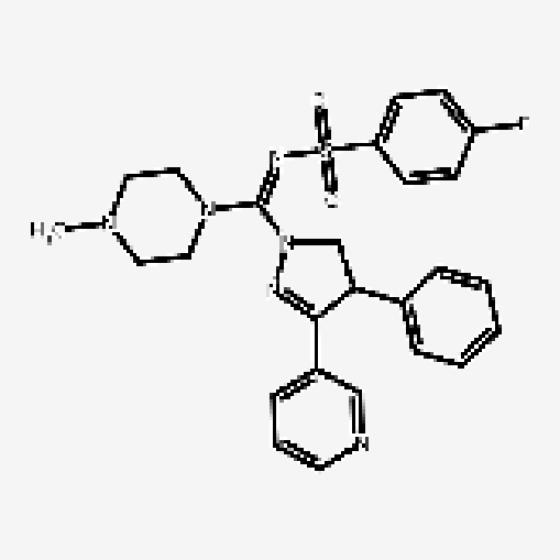 CN1CCN(C(=NS(=O)(=O)c2ccc(F)cc2)N2CC(c3ccccc3)C(c3cccnc3)=N2)CC1